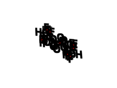 COC(=O)C1C2CC(C(C(=O)OC)C2C(=O)OC2CC(C(O)(C(F)(F)F)C(F)(F)F)CC(C(O)(C(F)(F)F)C(F)(F)F)C2)C1C(=O)OC1CC(C(O)(C(F)(F)F)C(F)(F)F)CC(C(O)(C(F)(F)F)C(F)(F)F)C1